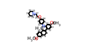 COc1ccc2c(c1)CCC(c1ccc(OC)cc1N(C)c1ccc(OCCN3CCCCC3)cc1)=C2